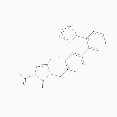 CCCCCc1cn(C(=O)CCCC)c(=O)n1Cc1ccc(-c2ccccc2-c2nnn[nH]2)cc1